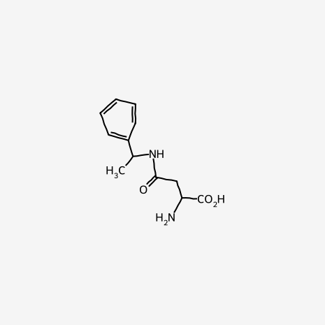 CC(NC(=O)CC(N)C(=O)O)c1ccccc1